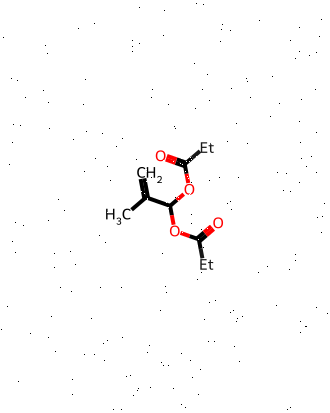 C=C(C)C(OC(=O)CC)OC(=O)CC